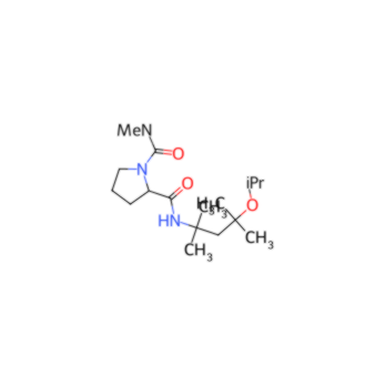 CNC(=O)N1CCCC1C(=O)NC(C)(C)CC(C)(C)OC(C)C